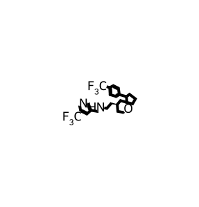 FC(F)(F)c1ccc(C2CCCC23C[C@H](CCNCc2cncc(C(F)(F)F)c2)CCO3)cc1